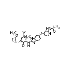 COC1CC[C@H]1Cn1cc(C2CC2)cc(Nc2nc3ccc(Oc4ccnc(NC(C)=O)c4)cc3n2C)c1=O